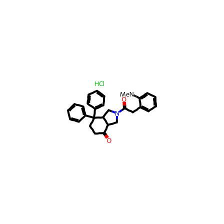 CNc1ccccc1CC(=O)N1CC2C(=O)CCC(c3ccccc3)(c3ccccc3)C2C1.Cl